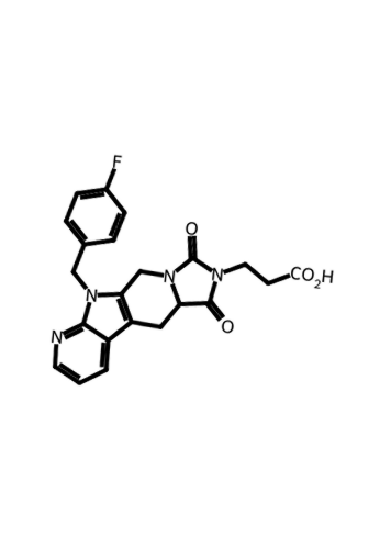 O=C(O)CCN1C(=O)C2Cc3c(n(Cc4ccc(F)cc4)c4ncccc34)CN2C1=O